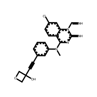 CN(c1cccc(C#CC2(O)COC2)c1)c1nc(=N)n(C=N)c2cc(Cl)ccc12